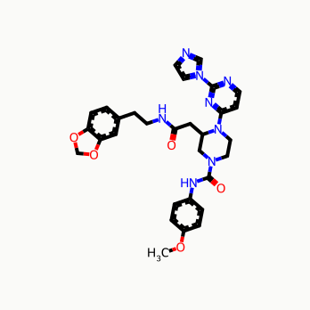 COc1ccc(NC(=O)N2CCN(c3ccnc(-n4ccnc4)n3)C(CC(=O)NCCc3ccc4c(c3)OCO4)C2)cc1